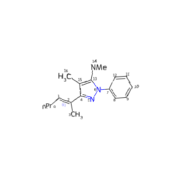 CCC/C=C(\C)c1nn(-c2ccccc2)c(NC)c1C